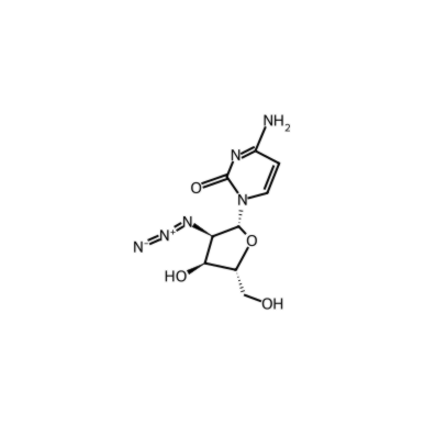 [N-]=[N+]=N[C@@H]1[C@H](O)[C@@H](CO)O[C@H]1n1ccc(N)nc1=O